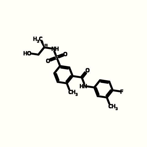 Cc1cc(NC(=O)c2cc(S(=O)(=O)N[C@H](C)CO)ccc2C)ccc1F